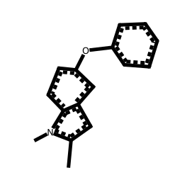 Cc1cc2cc(Oc3ccccc3)ccc2n1C